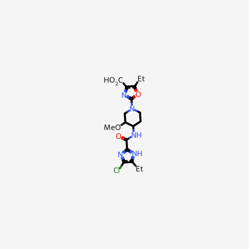 CCc1[nH]c(C(=O)NC2CCN(c3nc(C(=O)O)c(CC)o3)CC2OC)nc1Cl